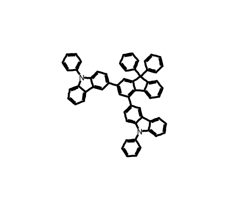 c1ccc(-n2c3ccccc3c3cc(-c4cc(-c5ccc6c(c5)c5ccccc5n6-c5ccccc5)c5c(c4)C(c4ccccc4)(c4ccccc4)c4ccccc4-5)ccc32)cc1